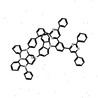 Cc1ccc2c(c1)c1ccccc1n2-c1ccc(-c2cc(-c3ccccc3)nc(-c3ccccc3)n2)cc1-c1cc(-c2ccccc2)nc(-c2cccc(-c3ccc(N4c5ccccc5B5c6ccccc6N(c6ccccc6)c6cccc4c65)cc3)c2)n1